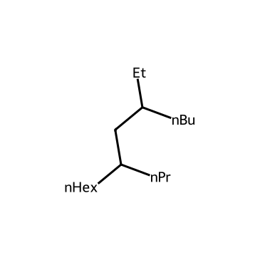 CCCCCCC(CCC)CC(CC)CCCC